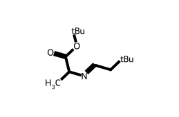 CC(N=CCC(C)(C)C)C(=O)OC(C)(C)C